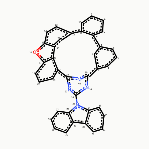 c1cc2cc(c1)c1ccccc1c1ccc3oc4cccc(c5nc(-n6c7ccccc7c7ccccc76)nc2n5)c4c3c1